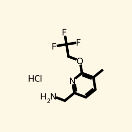 Cc1ccc(CN)nc1OCC(F)(F)F.Cl